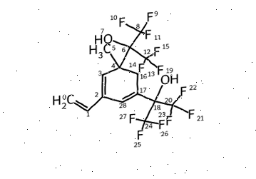 C=CC1=CC(C)(C(O)(C(F)(F)F)C(F)(F)F)CC(C(O)(C(F)(F)F)C(F)(F)F)=C1